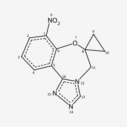 O=[N+]([O-])c1cccc2c1OC1(CC1)Cn1cnnc1-2